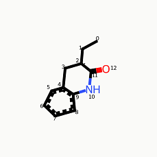 CC[C]1Cc2ccccc2NC1=O